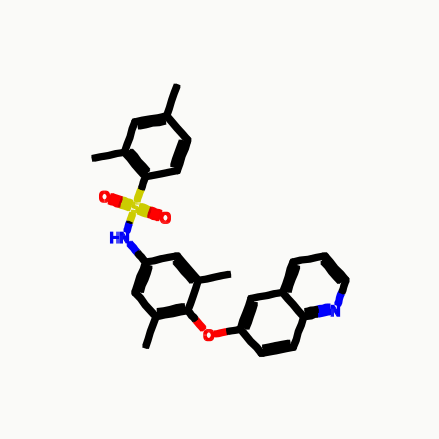 Cc1ccc(S(=O)(=O)Nc2cc(C)c(Oc3ccc4ncccc4c3)c(C)c2)c(C)c1